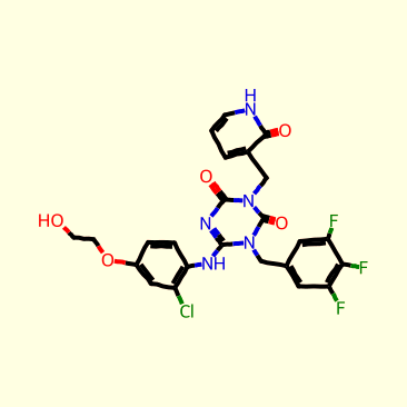 O=c1[nH]cccc1Cn1c(=O)nc(Nc2ccc(OCCO)cc2Cl)n(Cc2cc(F)c(F)c(F)c2)c1=O